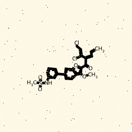 C=CC=C(C(=O)c1oc2cc(-c3cccc(NS(C)(=O)=O)c3)ccc2c1OC)C(Cl)=CCCl